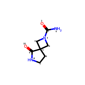 NC(=O)N1CC2(CCNC2=O)C1